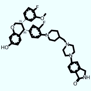 COc1cc([C@H]2COc3cc(O)ccc3[C@H]2c2ccc(N3CCC(CN4CCN(c5ccc6c(c5)CNC6=O)CC4)CC3)c(F)c2)ccc1F